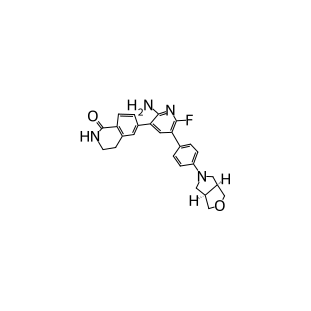 Nc1nc(F)c(-c2ccc(N3C[C@H]4COC[C@H]4C3)cc2)cc1-c1ccc2c(c1)CCNC2=O